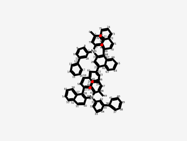 Cc1cccc(N(c2cccc(-c3ccccc3)c2)c2cc(-c3ccc4cc(-c5c(N(c6cccc(-c7ccccc7)c6)c6ccccc6C)ccc6ccccc56)ccc4c3)c3ccccc3c2-c2ccc3ccccc3c2)c1